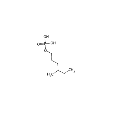 CCC(C)CCCOP(=O)(O)O